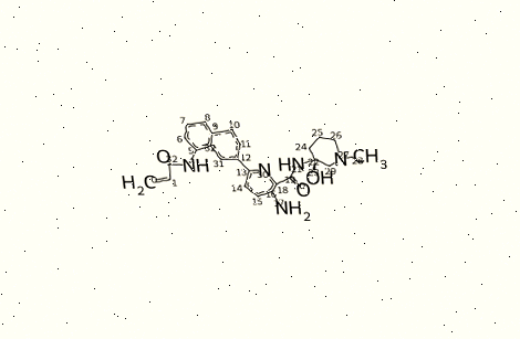 C=CC(=O)Nc1cccc2ccc(-c3ccc(N)c(C(=O)N[C@]4(O)CCCN(C)C4)n3)cc12